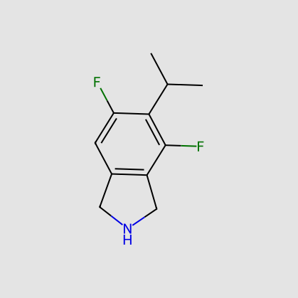 CC(C)c1c(F)cc2c(c1F)CNC2